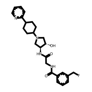 O=C(CNC(=O)c1cccc(CF)c1)N[C@H]1CN(C2CCC(c3ccccn3)CC2)C[C@@H]1O